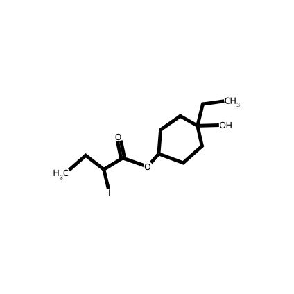 CCC(I)C(=O)OC1CCC(O)(CC)CC1